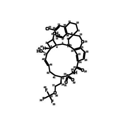 CC1C[C@@H]2C1CN1C[C@@]3(CCCc4cc(Cl)ccc43)COc3ccc(cc31)C(=O)NS(=O)(=O)[C@@H](CCOC(F)(F)F)CC/C=C/[C@@H]2O